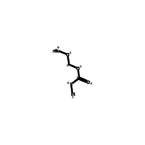 CCCCOCOC(=O)SCC